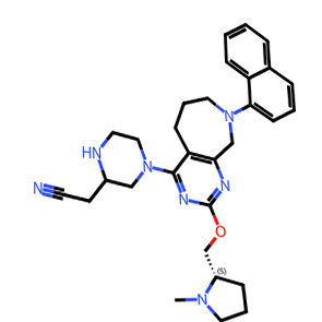 CN1CCC[C@H]1COc1nc2c(c(N3CCNC(CC#N)C3)n1)CCCN(c1cccc3ccccc13)C2